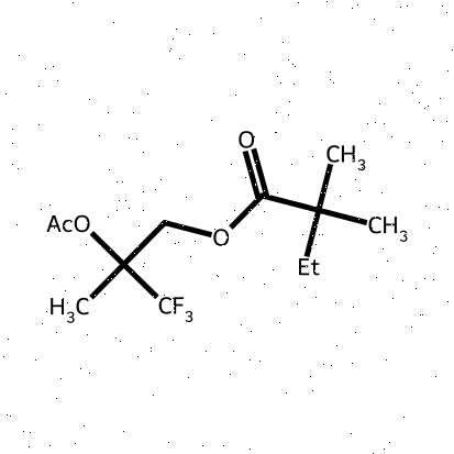 CCC(C)(C)C(=O)OCC(C)(OC(C)=O)C(F)(F)F